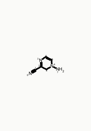 N#CC1=NC=CN(N)C1